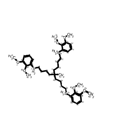 COc1cccc([SiH2]CCCCC(C)(CCCC[SiH2]c2cccc(OC)c2OC)CCCC[SiH2]c2cccc(OC)c2OC)c1OC